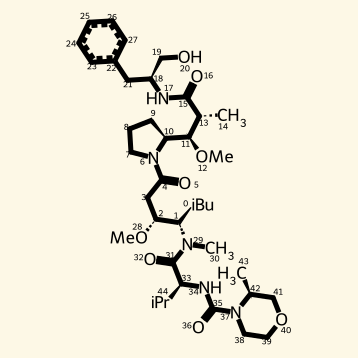 CC[C@H](C)[C@@H]([C@@H](CC(=O)N1CCC[C@H]1[C@H](OC)[C@@H](C)C(=O)N[C@H](CO)Cc1ccccc1)OC)N(C)C(=O)[C@@H](NC(=O)N1CCOC[C@@H]1C)C(C)C